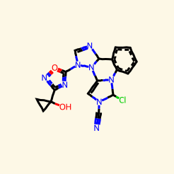 N#CN1C=C2N(c3ccccc3C3N=CN(c4nc(C5(O)CC5)no4)N23)C1Cl